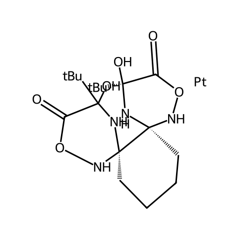 CC(C)(C)C1(O)N[C@]2(CCCC[C@]23NOC(=O)[C@@](O)(C(C)(C)C)N3)NOC1=O.[Pt]